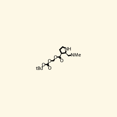 CNC[C@@H]1NCC[C@@H]1C(=O)OCOC(=O)OC(C)(C)C